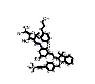 CC1(C)OC(=C(C#N)C#N)C(C#N)=C1/C=C/C1=C(Oc2ccc(CCCO)cc2)C(=C/C=C2/N(Cc3ccc(C#C[Si](C)(C)C)cc3)c3ccccc3C2(C)C)/CC(C(C)(C)C)C1